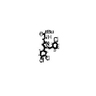 CC(C)(C)C(=O)NCc1cc(-c2ccc(Cl)c(Cl)c2)n(Cc2cccc(Cl)c2)n1